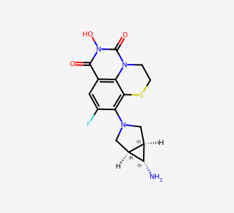 N[C@@H]1[C@H]2CN(c3c(F)cc4c(=O)n(O)c(=O)n5c4c3SCC5)C[C@@H]12